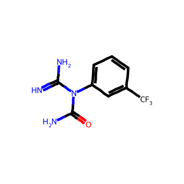 N=C(N)N(C(N)=O)c1cccc(C(F)(F)F)c1